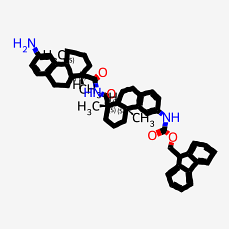 C[C@]1(C(=O)NC(=O)[C@@]2(C)CCC[C@]3(C)c4cc(NC(=O)OCC5c6ccccc6-c6ccccc65)ccc4CC[C@@H]23)CCC[C@]2(C)c3cc(N)ccc3CC[C@@H]12